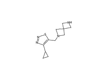 C1CC1c1nnsc1CN1CC2(CNC2)C1